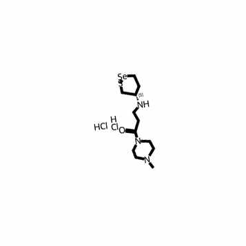 CN1CCN(C(=O)CCN[C@H]2CC[Se]SC2)CC1.Cl.Cl